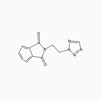 O=C1c2ccccc2C(=O)N1CCn1ncnn1